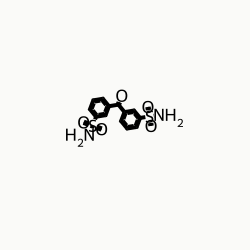 NS(=O)(=O)c1cccc(C(=O)c2cccc(S(N)(=O)=O)c2)c1